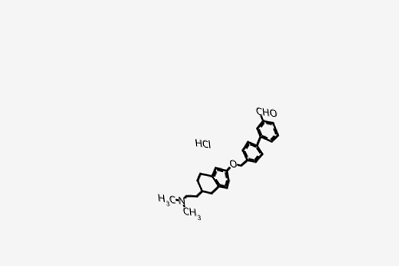 CN(C)CCC1CCc2cc(OCc3ccc(-c4cccc(C=O)c4)cc3)ccc2C1.Cl